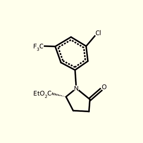 CCOC(=O)[C@H]1CCC(=O)N1c1cc(Cl)cc(C(F)(F)F)c1